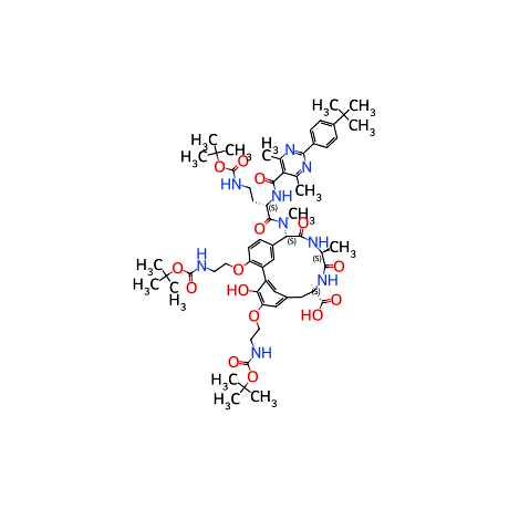 Cc1nc(-c2ccc(C(C)(C)C)cc2)nc(C)c1C(=O)N[C@@H](CCNC(=O)OC(C)(C)C)C(=O)N(C)[C@@H]1C(=O)N[C@@H](C)C(=O)N[C@H](C(=O)O)Cc2cc(OCCNC(=O)OC(C)(C)C)c(O)c(c2)-c2cc1ccc2OCCNC(=O)OC(C)(C)C